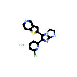 Cl.Clc1cccc(-c2nc3n(c2-c2cc4cnccc4s2)CCN3)n1